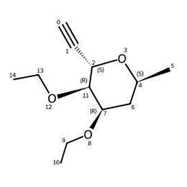 C#C[C@@H]1O[C@@H](C)C[C@@H](OCC)[C@H]1OCC